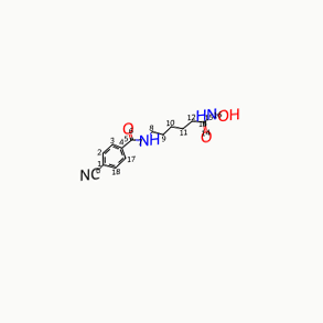 N#Cc1ccc(C(=O)NCCCCCC(=O)NO)cc1